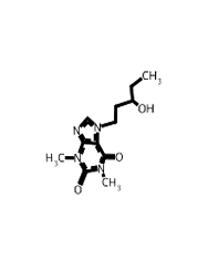 CCC(O)CCn1cnc2c1c(=O)n(C)c(=O)n2C